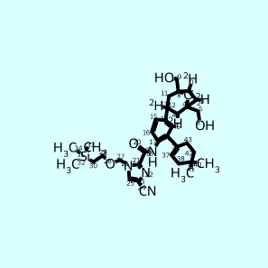 [2H]C1C([2H])C2(CO)OC1(CO)CC([2H])(c1ccc(NC(=O)c3nc(C#N)cn3COCC[Si](C)(C)C)c(C3=CCC(C)(C)CC3)c1)C2[2H]